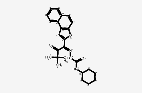 CC(C)(C)C(=O)/C(=N\OC(=O)NC1CCCCC1)c1nc2c(ccc3ccccc32)o1